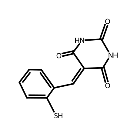 O=C1NC(=O)C(=Cc2ccccc2S)C(=O)N1